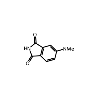 CNc1ccc2c(c1)C(=O)NC2=O